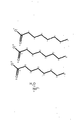 CCCCCCCC(=O)[O-].CCCCCCCC(=O)[O-].CCCCCCCC(=O)[O-].O.[Nd+3]